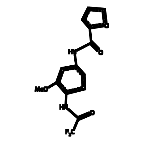 COc1cc(NC(=O)c2ccco2)ccc1NC(=O)C(F)(F)F